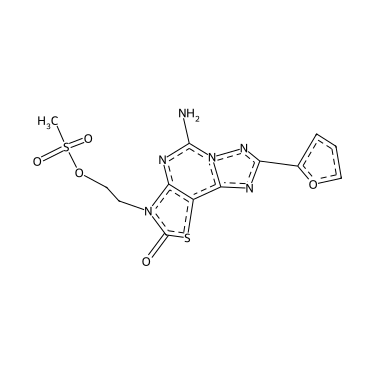 CS(=O)(=O)OCCn1c(=O)sc2c1nc(N)n1nc(-c3ccco3)nc21